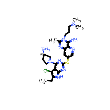 CCc1[nH]c2nc(Sc3cnc4c(=N)n(CCCN(C)C)c(C)nc4c3)nc(N3CC[C@@H](N)C3)c2c1Cl